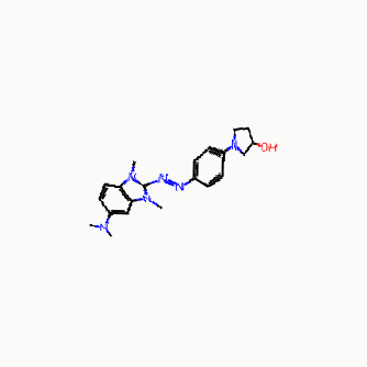 CN(C)c1ccc2c(c1)N(C)C(N=Nc1ccc(N3CCC(O)C3)cc1)N2C